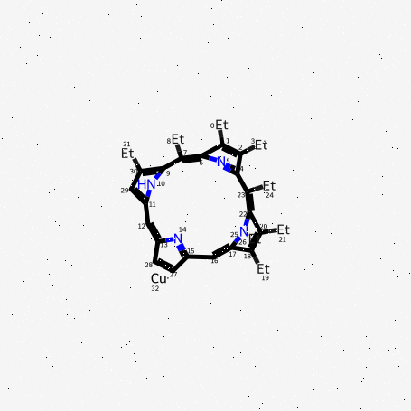 CCC1=C(CC)c2nc1c(CC)c1[nH]c(cc3nc(cc4c(CC)c(CC)c(c2CC)n4CC)C=C3)cc1CC.[Cu]